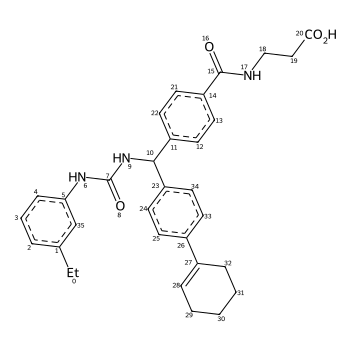 CCc1cccc(NC(=O)NC(c2ccc(C(=O)NCCC(=O)O)cc2)c2ccc(C3=CCCCC3)cc2)c1